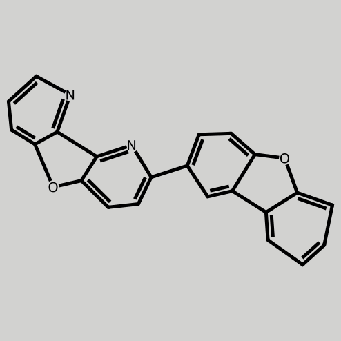 c1ccc2c(c1)oc1ccc(-c3ccc4oc5cccnc5c4n3)cc12